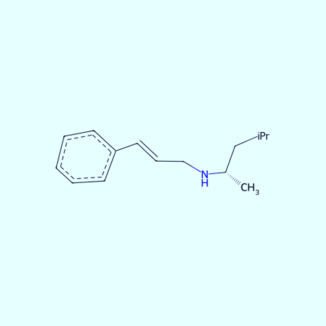 CC(C)C[C@H](C)NC/C=C/c1ccccc1